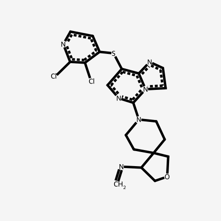 C=NC1COCC12CCN(c1ncc(Sc3ccnc(Cl)c3Cl)c3nccn13)CC2